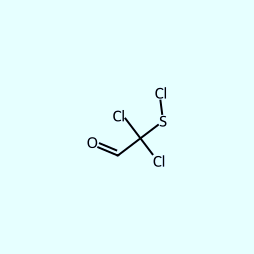 O=CC(Cl)(Cl)SCl